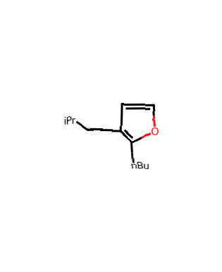 CCCCc1occc1CC(C)C